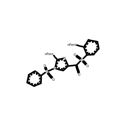 CCCCCc1ccccc1S(=O)(=O)C(=O)c1cn(S(=O)(=O)c2ccccc2)c(CCCCC)n1